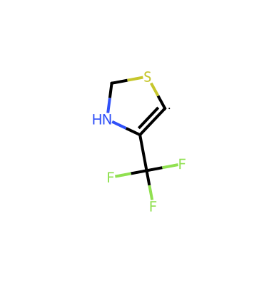 FC(F)(F)C1=[C]SCN1